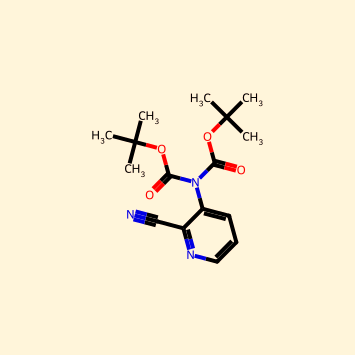 CC(C)(C)OC(=O)N(C(=O)OC(C)(C)C)c1cccnc1C#N